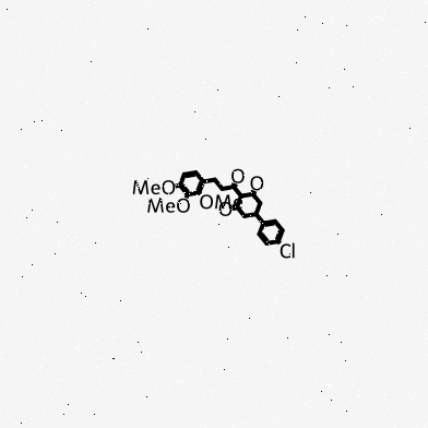 COc1ccc(CCC(=O)C2C(=O)CC(c3ccc(Cl)cc3)CC2=O)c(OC)c1OC